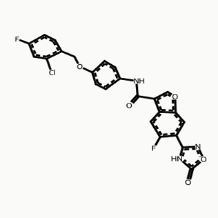 O=C(Nc1ccc(OCc2ccc(F)cc2Cl)cc1)c1coc2cc(-c3noc(=O)[nH]3)c(F)cc12